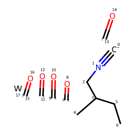 [C-]#[N+]CC(C)CC.[C]=O.[C]=O.[C]=O.[C]=O.[C]=O.[W]